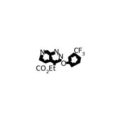 CCOC(=O)c1c(Oc2cccc(C(F)(F)F)c2)nnc2cnccc12